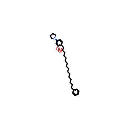 O=C(CCCCCCCCCCCCCCc1ccccc1)Cc1ccc(N2CCCC2)cc1O